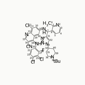 Cc1ncccc1[C@H](Nc1cc(Cl)c2ncc(C#N)c(Nc3ccc(Cl)c(Cl)c3F)c2c1)c1cn(C2CCN(C(C)(C)C)CC2)nn1